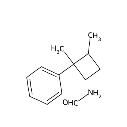 CC1CCC1(C)c1ccccc1.NC=O